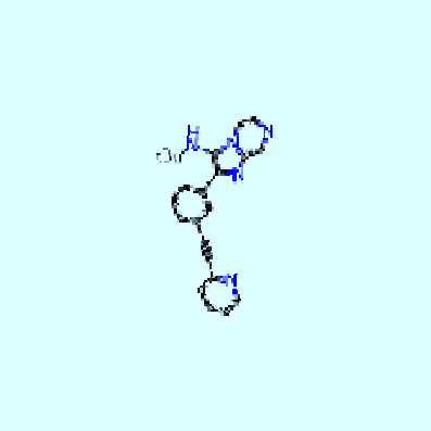 CC(C)(C)Nc1c(-c2cccc(C#Cc3ccccn3)c2)nc2cnccn12